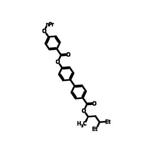 CCCOc1ccc(C(=O)Oc2ccc(-c3ccc(C(=O)O[C@H](C)CC(CC)CC)cc3)cc2)cc1